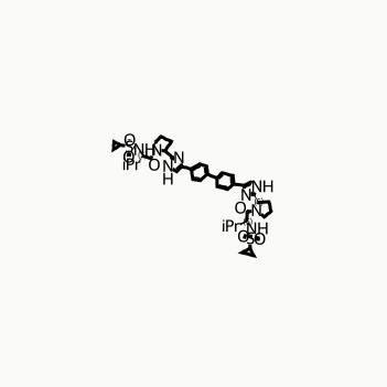 CC(C)[C@H](NS(=O)(=O)C1CC1)C(=O)N1CCCC1c1nc(-c2ccc(-c3ccc(-c4c[nH]c([C@@H]5CCCN5C(=O)[C@@H](NS(=O)(=O)C5CC5)C(C)C)n4)cc3)cc2)c[nH]1